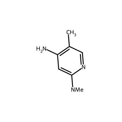 CNc1cc(N)c(C)cn1